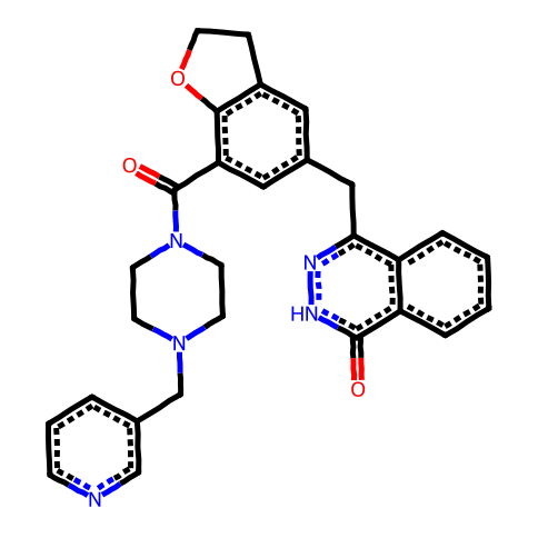 O=C(c1cc(Cc2n[nH]c(=O)c3ccccc23)cc2c1OCC2)N1CCN(Cc2cccnc2)CC1